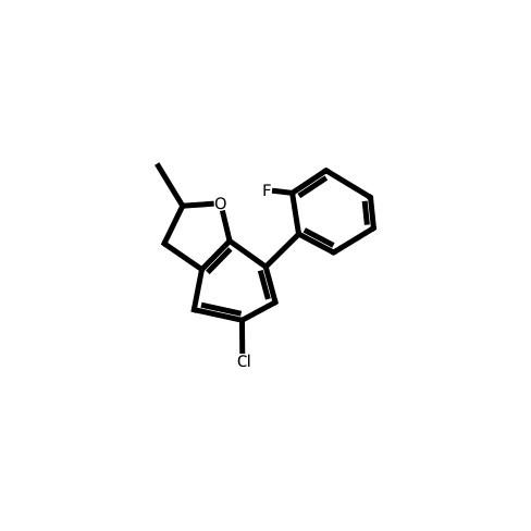 CC1Cc2cc(Cl)cc(-c3ccccc3F)c2O1